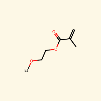 [CH2]COCCOC(=O)C(=C)C